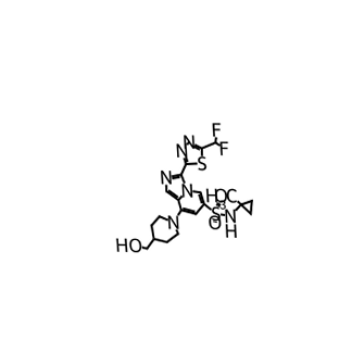 CC1(NS(=O)(=O)c2cc(N3CCC(CO)CC3)c3cnc(-c4nnc(C(F)F)s4)n3c2)CC1